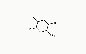 CC1CC(Br)C(N)CC1F